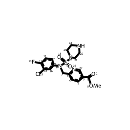 COC(=O)c1ccc(CN(c2ccc(F)c(Cl)c2)S(=O)(=O)N2CCNCC2)nc1